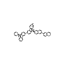 C1=CCC(n2c3ccccc3c3cc(-c4ccc5c(c4)c4c(n5-c5ccc6cc(-c7ccc8c(c7)C=CCC8)ccc6c5)CSC=C4)ccc32)C=C1